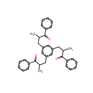 CC(Cc1[c]c(CC(C)C(=O)c2ccccc2)cc(CC(C)C(=O)c2ccccc2)c1)C(=O)c1ccccc1